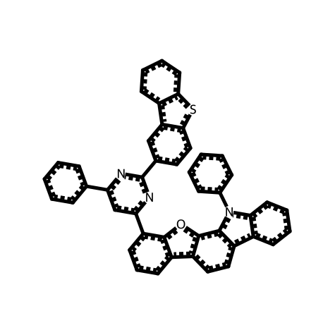 c1ccc(-c2cc(-c3cccc4c3oc3c4ccc4c5ccccc5n(-c5ccccc5)c43)nc(-c3ccc4sc5ccccc5c4c3)n2)cc1